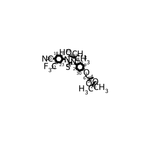 CC1(C)OC[C@H](COc2ccc(N3C(=S)N(c4ccc(C#N)c(C(F)(F)F)c4)C(O)C3(C)C)cc2)O1